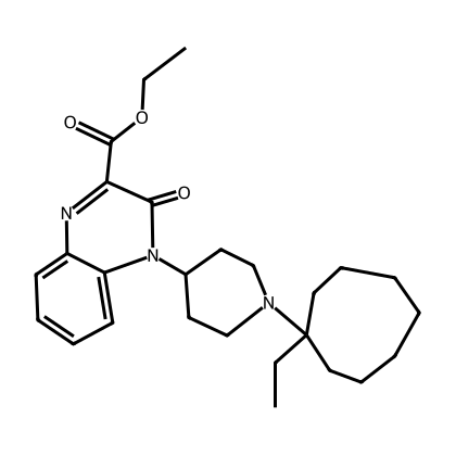 CCOC(=O)c1nc2ccccc2n(C2CCN(C3(CC)CCCCCCC3)CC2)c1=O